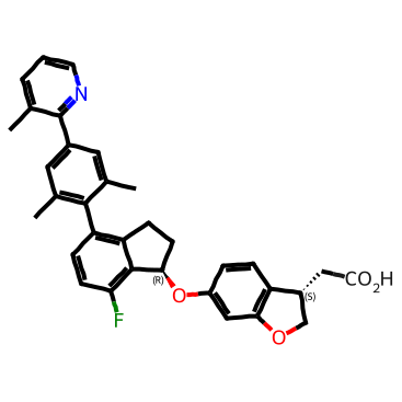 Cc1cccnc1-c1cc(C)c(-c2ccc(F)c3c2CC[C@H]3Oc2ccc3c(c2)OC[C@H]3CC(=O)O)c(C)c1